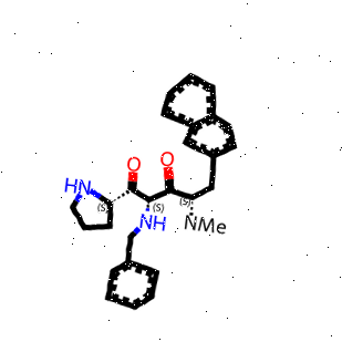 CN[C@@H](Cc1ccc2ccccc2c1)C(=O)[C@H](NCc1ccccc1)C(=O)[C@@H]1CCCN1